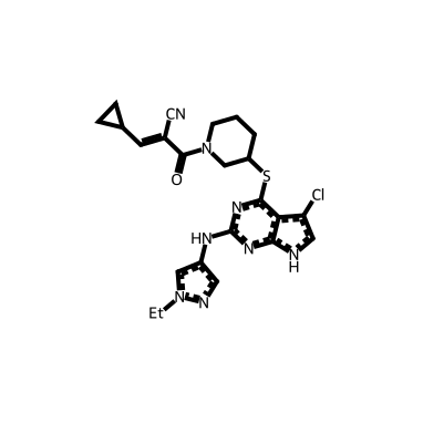 CCn1cc(Nc2nc(SC3CCCN(C(=O)/C(C#N)=C/C4CC4)C3)c3c(Cl)c[nH]c3n2)cn1